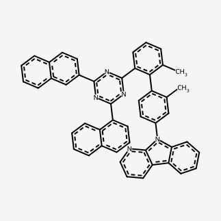 Cc1cc(-n2c3ccccc3c3cccnc32)ccc1-c1c(C)cccc1-c1nc(-c2ccc3ccccc3c2)nc(-c2cccc3ccccc23)n1